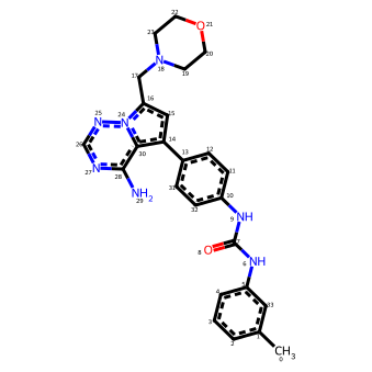 Cc1cccc(NC(=O)Nc2ccc(-c3cc(CN4CCOCC4)n4ncnc(N)c34)cc2)c1